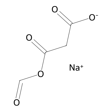 O=COC(=O)CC(=O)[O-].[Na+]